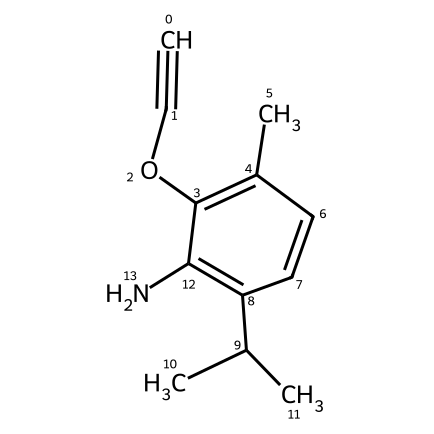 C#COc1c(C)ccc(C(C)C)c1N